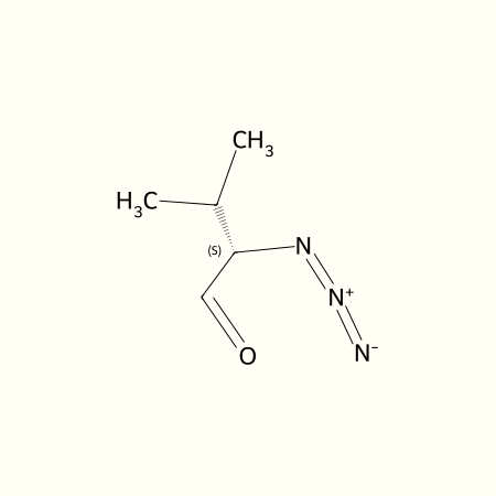 CC(C)[C@@H](C=O)N=[N+]=[N-]